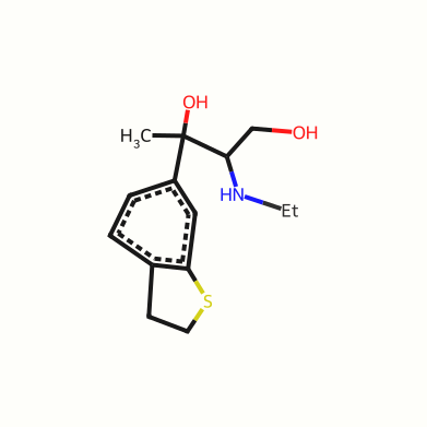 CCNC(CO)C(C)(O)c1ccc2c(c1)SCC2